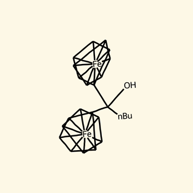 CCCCC(O)([C]12[CH]3[CH]4[CH]5[CH]1[Fe]45321678[CH]2[CH]1[CH]6[CH]7[CH]28)[C]12[CH]3[CH]4[CH]5[CH]1[Fe]45321678[CH]2[CH]1[CH]6[CH]7[CH]28